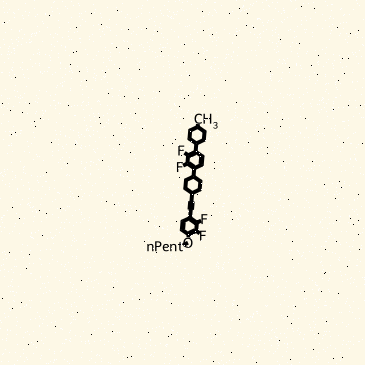 CCCCCOc1ccc(C#CC2CCC(c3ccc(C4CCC(C)CC4)c(F)c3F)CC2)c(F)c1F